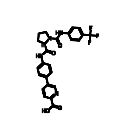 O=C(O)c1ccc(-c2ccc(NC(=O)[C@H]3CCCN3C(=O)Nc3ccc(C(F)(F)F)cc3)cc2)cn1